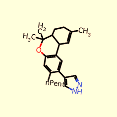 CCCCCc1cc2c(cc1-c1cn[nH]c1)C1C=C(C)CCC1C(C)(C)O2